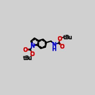 CC(C)(C)OC(=O)NCc1ccc2c(ccn2C(=O)OC(C)(C)C)c1